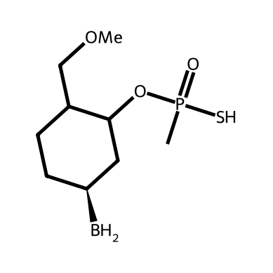 B[C@H]1CCC(COC)C(OP(C)(=O)S)C1